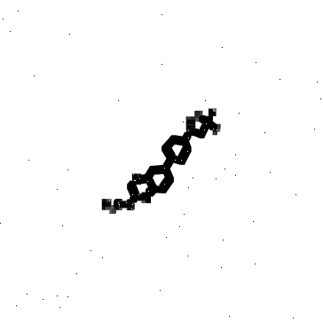 CSc1cnc2cc(-c3ccc(NCC(F)(F)F)cc3)ccc2n1